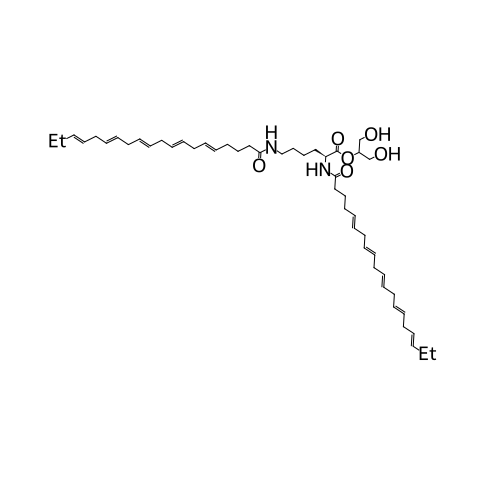 CCC=CCC=CCC=CCC=CCC=CCCCC(=O)NCCCC[C@H](NC(=O)CCCC=CCC=CCC=CCC=CCC=CCC)C(=O)OC(CO)CO